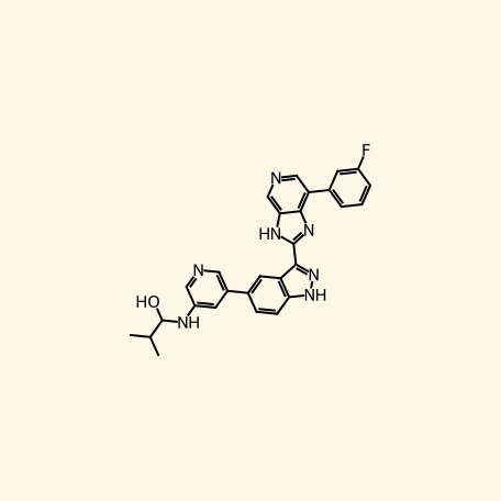 CC(C)C(O)Nc1cncc(-c2ccc3[nH]nc(-c4nc5c(-c6cccc(F)c6)cncc5[nH]4)c3c2)c1